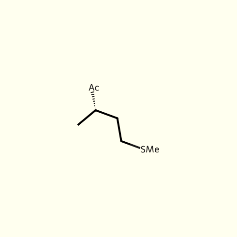 CSCC[C@H](C)C(C)=O